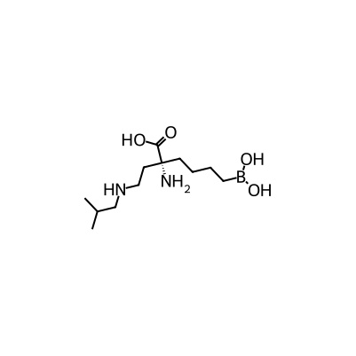 CC(C)CNCC[C@](N)(CCCCB(O)O)C(=O)O